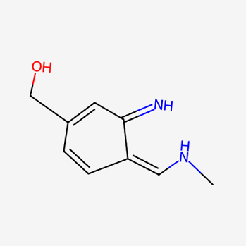 CN/C=C1/C=CC(CO)=CC1=N